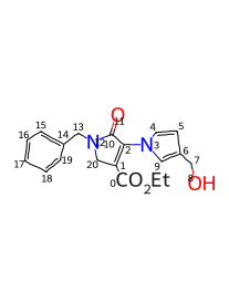 CCOC(=O)C1=C(n2ccc(CO)c2)C(=O)N(Cc2ccccc2)C1